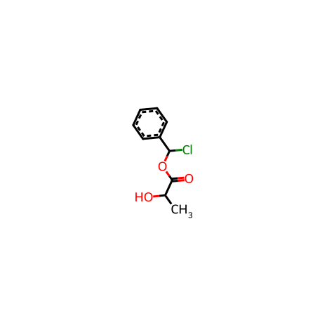 CC(O)C(=O)OC(Cl)c1ccccc1